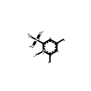 Cc1cc(C)[n+](F)c(S(=O)(=O)[O-])c1